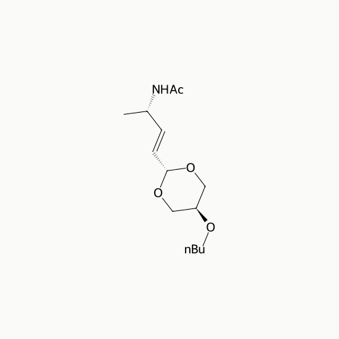 CCCCO[C@H]1CO[C@H](/C=C/[C@H](C)NC(C)=O)OC1